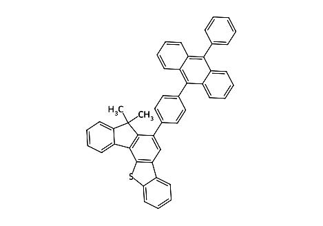 CC1(C)c2ccccc2-c2c1c(-c1ccc(-c3c4ccccc4c(-c4ccccc4)c4ccccc34)cc1)cc1c2sc2ccccc21